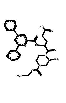 CCOC(=O)N1CCN(C(=O)C(CCC(=O)O)NC(=O)c2cc(-c3ccccc3)cc(-c3ccccc3)n2)C(C)C1